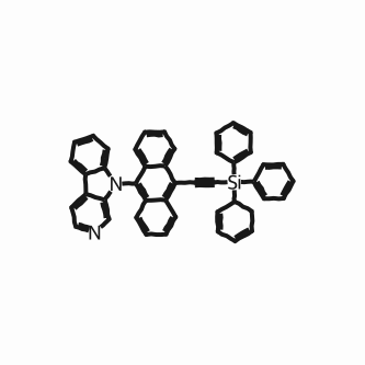 C(#C[Si](c1ccccc1)(c1ccccc1)C1C=CC=CC1)c1c2ccccc2c(-n2c3ccccc3c3ccncc32)c2ccccc12